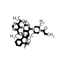 C=CC(=O)N1C[C@H](C)N(c2nc(=O)n(-c3c(C(C)C)ncnc3C(C)C)c3nc(-c4ccccc4C(F)(F)F)c(Cl)cc23)C[C@H]1C